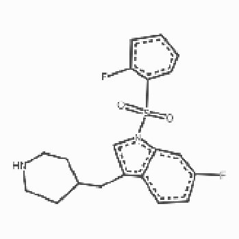 O=S(=O)(c1ccccc1F)n1cc(CC2CCNCC2)c2ccc(F)cc21